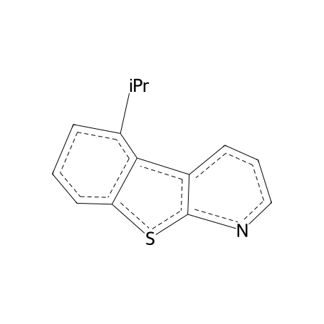 CC(C)c1cccc2sc3ncccc3c12